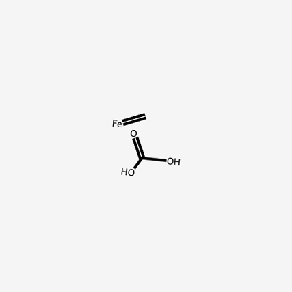 O=C(O)O.[CH2]=[Fe]